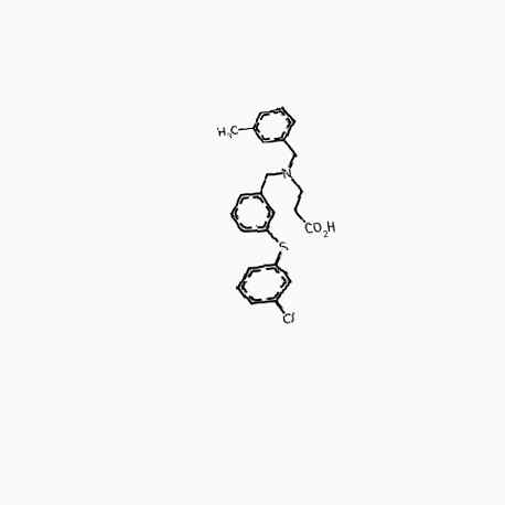 Cc1cccc(CN(CCC(=O)O)Cc2cccc(Sc3cccc(Cl)c3)c2)c1